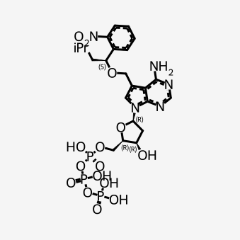 CC(C)C[C@H](OCc1cn([C@H]2C[C@@H](O)[C@@H](COP(=O)(O)OP(=O)(O)OP(=O)(O)O)O2)c2ncnc(N)c12)c1ccccc1[N+](=O)[O-]